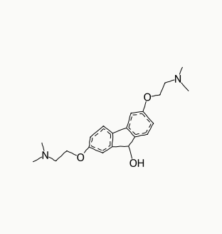 CN(C)CCOc1ccc2c(c1)-c1ccc(OCCN(C)C)cc1C2O